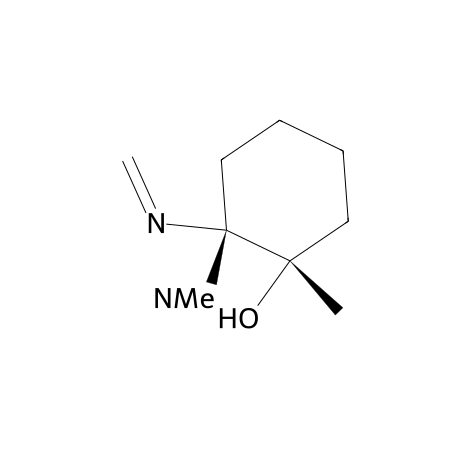 C=N[C@]1(NC)CCCC[C@]1(C)O